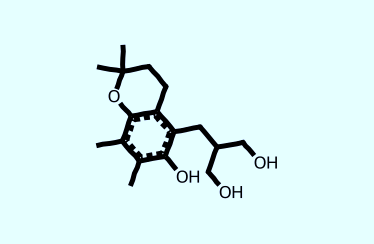 Cc1c(C)c2c(c(CC(CO)CO)c1O)CCC(C)(C)O2